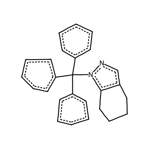 c1ccc(C(c2ccccc2)(c2ccccc2)n2ncc3c2CCCC3)cc1